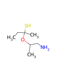 CCC(C)(S)OC(C)CN